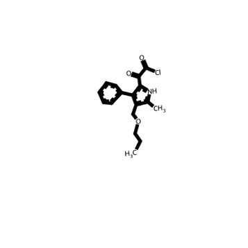 CCCOCc1c(C)[nH]c(C(=O)C(=O)Cl)c1-c1ccccc1